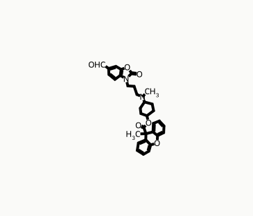 CN(CCCn1c(=O)oc2cc(C=O)ccc21)C1CCC(OC(=O)C2(C)c3ccccc3Oc3ccccc32)CC1